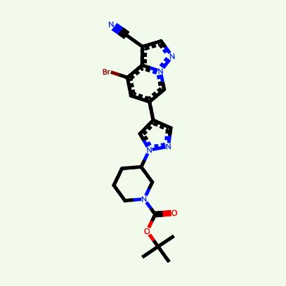 CC(C)(C)OC(=O)N1CCCC(n2cc(-c3cc(Br)c4c(C#N)cnn4c3)cn2)C1